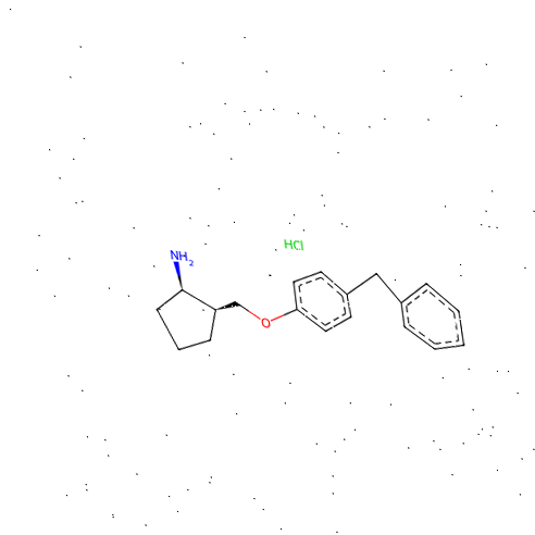 Cl.N[C@@H]1CCC[C@@H]1COc1ccc(Cc2ccccc2)cc1